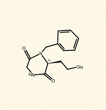 O=C1NCC(=O)N(Cc2ccccc2)[C@H]1CCO